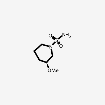 CO[C@H]1CCCN(S(N)(=O)=O)C1